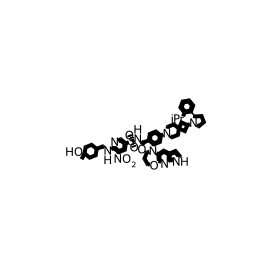 CC(C)c1ccccc1[C@H]1CCCN1C1CC2(CCN(c3ccc(C(=O)NS(=O)(=O)c4cnc(NCC5CCC(C)(O)CC5)c([N+](=O)[O-])c4)c(N4CCCOc5nc6[nH]ccc6cc54)c3)CC2)C1